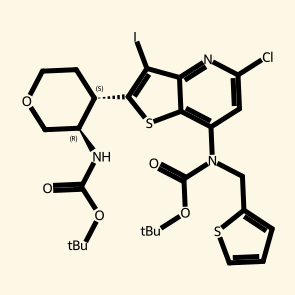 CC(C)(C)OC(=O)N[C@H]1COCC[C@@H]1c1sc2c(N(Cc3cccs3)C(=O)OC(C)(C)C)cc(Cl)nc2c1I